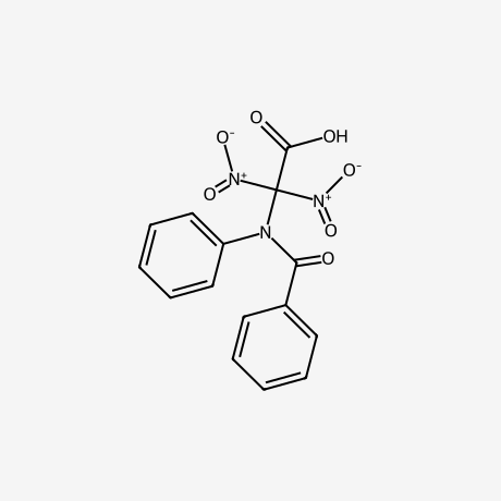 O=C(c1ccccc1)N(c1ccccc1)C(C(=O)O)([N+](=O)[O-])[N+](=O)[O-]